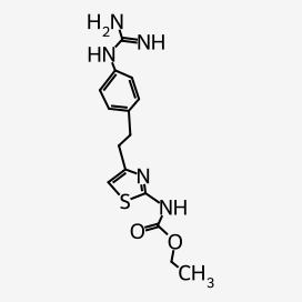 CCOC(=O)Nc1nc(CCc2ccc(NC(=N)N)cc2)cs1